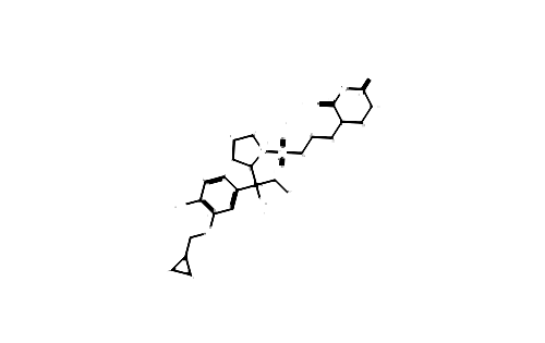 CCC(O)(c1ccc(F)c(OCC2CC2)c1)C1CCCN1S(=O)(=O)CCCC1CCC(=O)NC1=O